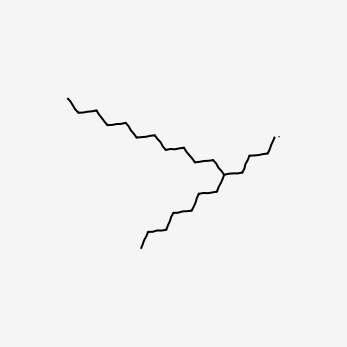 [CH2]CCCC(CCCCCCC)CCCCCCCCCCC